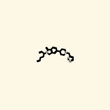 C=CCCC(C=C)N1Cc2cc(C3CCN(Cc4ccns4)CC3)ccc2C1=C